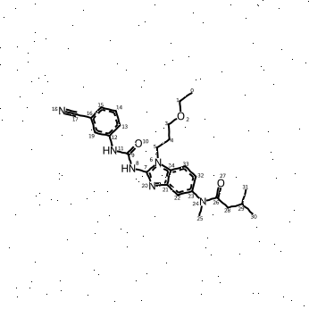 CCOCCCn1c(NC(=O)Nc2cccc(C#N)c2)nc2cc(N(C)C(=O)CC(C)C)ccc21